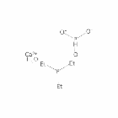 CCP(CC)CC.O.O=[PH]([O-])[O-].[Ca+2]